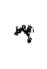 CCOc1cc(F)c(Cn2nc(-c3ncc(OCCCO[Si](C)(C)C(C)(C)C)c(Nc4cc(C)ncc4C)n3)c3ccccc32)c(F)c1